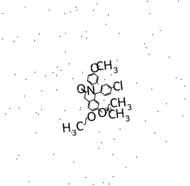 CCCOc1cc2c(cc1O[C@H](C)CC)C(c1ccc(Cl)cc1)N(c1ccc(OC)cc1)C(=O)C2